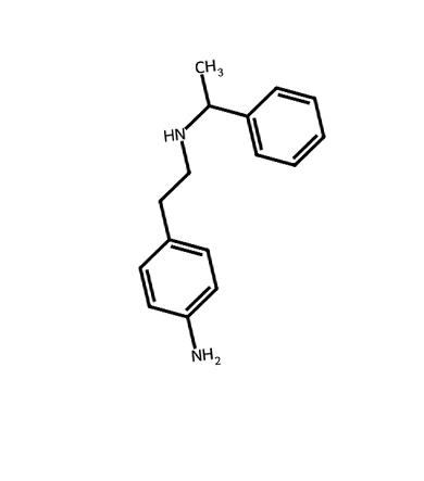 CC(NCCc1ccc(N)cc1)c1ccccc1